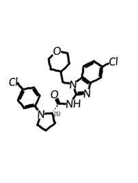 O=C(Nc1nc2cc(Cl)ccc2n1CC1CCOCC1)[C@@H]1CCCN1c1ccc(Cl)cc1